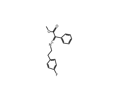 COC(=O)C(=C=NCCc1ccc(F)cc1)c1ccccc1